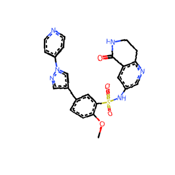 COc1ccc(-c2cnn(-c3ccncc3)c2)cc1S(=O)(=O)Nc1cnc2c(c1)C(=O)NCC2